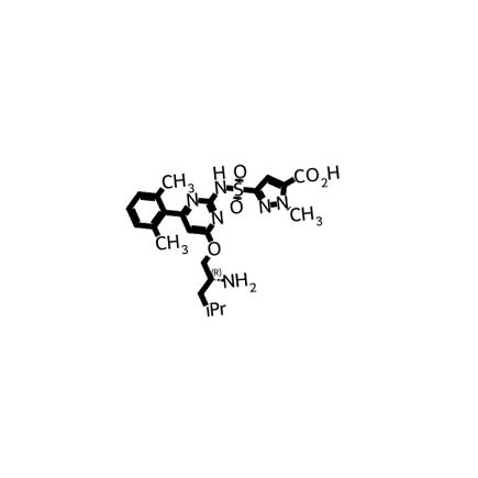 Cc1cccc(C)c1-c1cc(OC[C@H](N)CC(C)C)nc(NS(=O)(=O)c2cc(C(=O)O)n(C)n2)n1